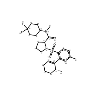 Cc1ccc(S(=O)(=O)N2CCC[C@H]2C(=O)N(C)C2CCC(F)(F)CC2)c(C2=CCCC[C@H]2C)n1